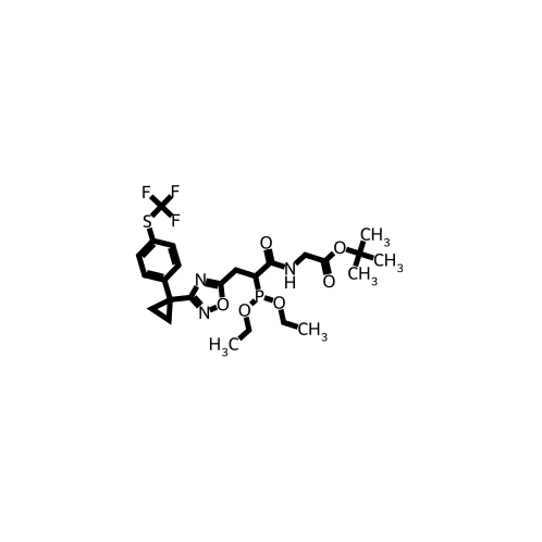 CCOP(OCC)C(Cc1nc(C2(c3ccc(SC(F)(F)F)cc3)CC2)no1)C(=O)NCC(=O)OC(C)(C)C